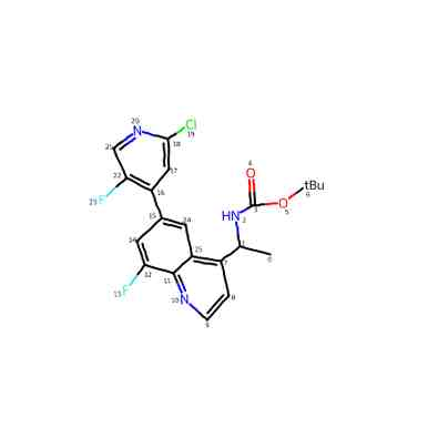 CC(NC(=O)OC(C)(C)C)c1ccnc2c(F)cc(-c3cc(Cl)ncc3F)cc12